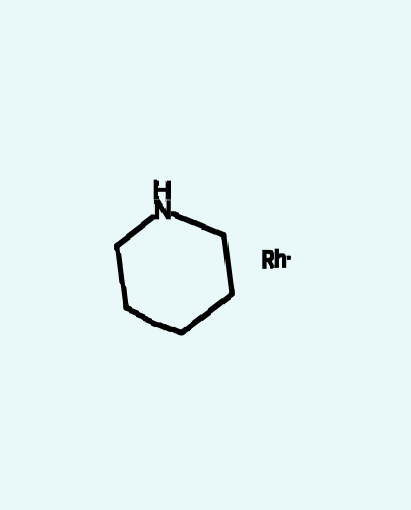 C1CCNCC1.[Rh]